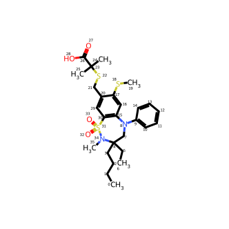 CCCCC1(CC)CN(c2ccccc2)c2cc(SC)c(CSC(C)(C)C(=O)O)cc2S(=O)(=O)N1C